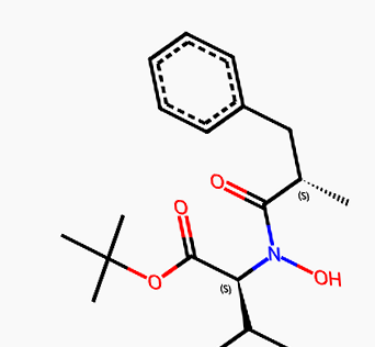 CC(C)[C@@H](C(=O)OC(C)(C)C)N(O)C(=O)[C@@H](C)Cc1ccccc1